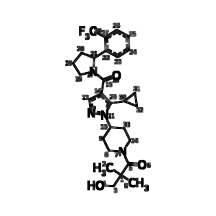 CC(C)(CO)C(=O)N1CCC(n2ncc(C(=O)N3CCCC3c3ccccc3C(F)(F)F)c2C2CC2)CC1